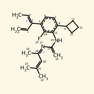 C=C/C(=C\C)c1ccc(C2CCC2)c(NC(=C)/N=C(/C)C=C(C)C)c1F